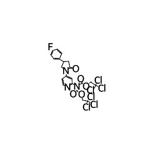 O=C1CC(c2ccc(F)cc2)CN1c1ccnc(N(C(=O)OCC(Cl)(Cl)Cl)C(=O)OCC(Cl)(Cl)Cl)c1